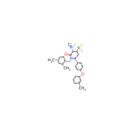 [C-]#[N+]c1c(C(F)(F)F)cc(-c2ccc(Oc3cccc(C)c3)cc2)n(Cc2ccc(C)cc2C)c1=O